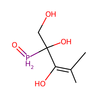 CC(C)=C(O)C(O)(CO)[PH2]=O